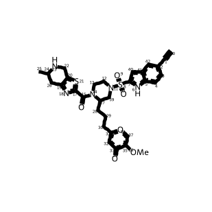 C#Cc1ccc2[nH]c(S(=O)(=O)N3CCN(C(=O)c4nc5c(s4)CNC(C)C5)C(CCCc4cc(=O)c(OC)co4)C3)cc2c1